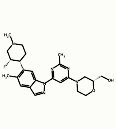 Cc1nc(N2CCO[C@@H](CO)C2)cc(-n2ncc3cc(C)c([C@H]4CCN(C)C[C@H]4F)cc32)n1